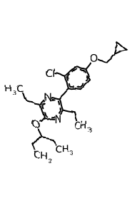 CCc1nc(-c2ccc(OCC3CC3)cc2Cl)c(CC)nc1OC(CC)CC